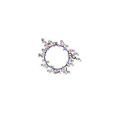 C/C=C/C[C@@H](C)[C@@H](O)[C@H]1C(=O)N[C@@H](CC)C(=O)N(C)CC(=O)N(C)[C@@H](CC(C)(C)OCOCC)C(=O)N[C@H](C(C)C)C(=O)N(C)[C@H](CC(C)C)C(=O)N[C@H](C)C(=O)N[C@@H](C)C(=O)N(C)[C@@H](CC(C)C)C(=O)N(C)[C@@H](CCC(C)C)C(=O)N(C)[C@@H](C(C)C)C(=O)N1C